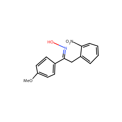 COc1ccc(C(Cc2ccccc2[N+](=O)[O-])=NO)cc1